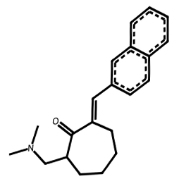 CN(C)CC1CCCC/C(=C\c2ccc3ccccc3c2)C1=O